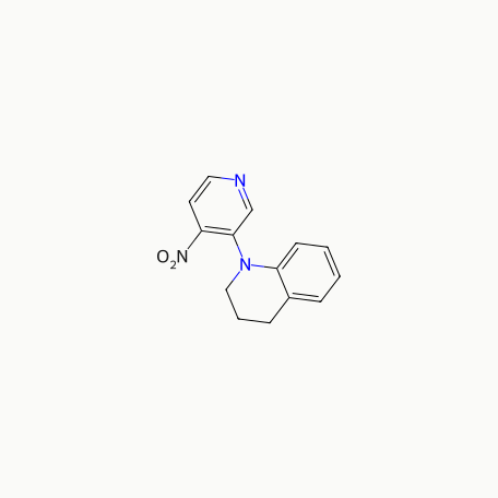 O=[N+]([O-])c1ccncc1N1CCCc2ccccc21